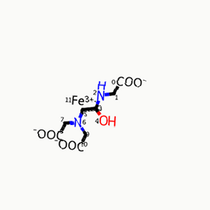 O=C([O-])CNC(O)CN(CC(=O)[O-])CC(=O)[O-].[Fe+3]